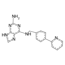 Nc1nc(NCc2ccc(-c3ccccn3)cc2)c2nc[nH]c2n1